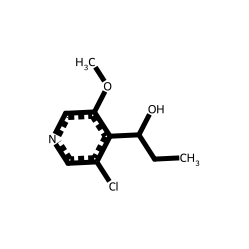 CCC(O)c1c(Cl)cncc1OC